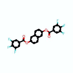 O=C(Oc1ccc2cc(OC(=O)c3cc(F)c(F)c(F)c3)ccc2c1)c1cc(F)c(F)c(F)c1